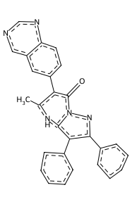 Cc1[nH]c2c(-c3ccccc3)c(-c3ccccc3)nn2c(=O)c1-c1ccc2ncncc2c1